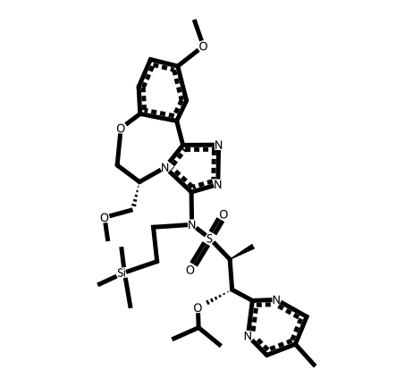 COC[C@@H]1COc2ccc(OC)cc2-c2nnc(N(CC[Si](C)(C)C)S(=O)(=O)[C@@H](C)[C@@H](OC(C)C)c3ncc(C)cn3)n21